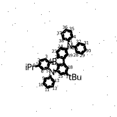 CC(C)c1ccc2c(c1)N(c1ccccc1)c1cc(C(C)(C)C)cc3c1B2c1ccc(N(c2ccccc2)c2ccccc2)cc1-3